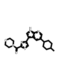 CC1CCC(c2cnc3[nH]cc(-c4csc(C(=O)N5CCOCC5)n4)c3c2)CC1